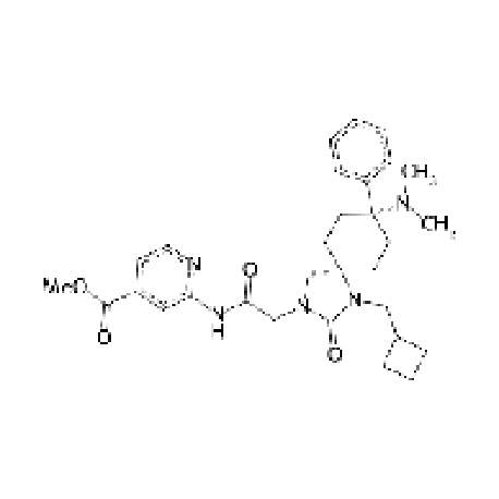 COC(=O)c1ccnc(NC(=O)CN2C[C@]3(CC[C@@](c4ccccc4)(N(C)C)CC3)N(CC3CCC3)C2=O)c1